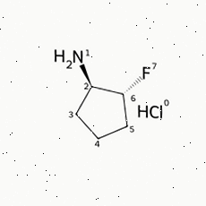 Cl.N[C@@H]1CCC[C@H]1F